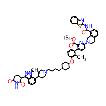 Cc1c(O[C@H]2CC[C@H](CCCCN3CCC(c4cccc5c(C6CCC(=O)NC6=O)nn(C)c45)CC3)CC2)cccc1-c1ccc(N2CCc3cccc(C(=O)Nc4nc5ccccc5s4)c3C2)nc1C(=O)OC(C)(C)C